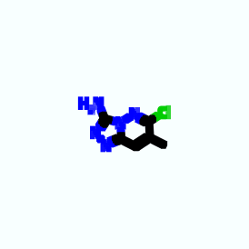 Cc1cc2nnc(N)n2nc1Cl